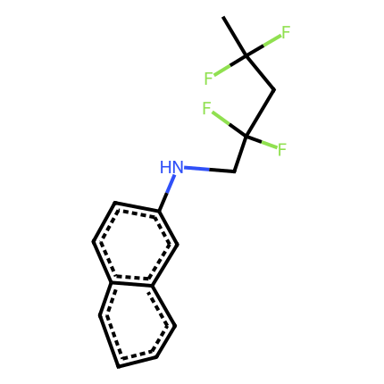 CC(F)(F)CC(F)(F)CNc1ccc2ccccc2c1